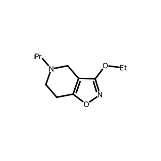 CCOc1noc2c1CN(C(C)C)CC2